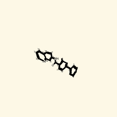 Cc1cc(-c2ccccc2)ccc1C(=O)Nc1ccc2cccnc2c1